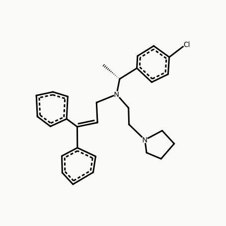 C[C@H](c1ccc(Cl)cc1)N(CC=C(c1ccccc1)c1ccccc1)CCN1CCCC1